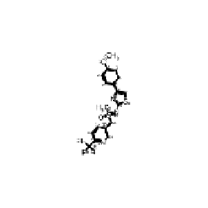 COC1=CCC(c2csc(N=S(C)(=O)Cc3ccc(C(F)(F)F)nc3)n2)C=C1